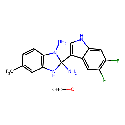 NN1c2ccc(C(F)(F)F)cc2NC1(N)c1c[nH]c2cc(F)c(F)cc12.O=CO